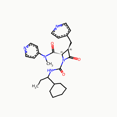 CCC(NC(=O)N1C(=O)[C@H](Cc2ccncc2)[C@H]1C(=O)N(C)c1ccncc1)C1CCCCC1